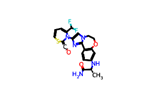 C[C@H](Nc1ccc2c(c1)OCCn1cc(N3C(=C=O)SC=CC=C3C(F)F)nc1-2)C(N)=O